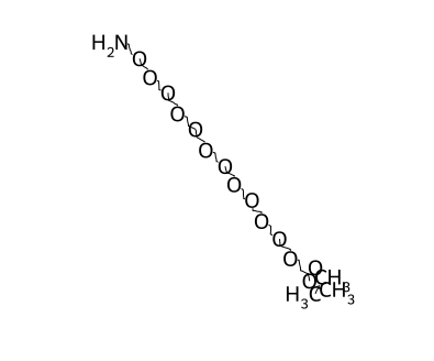 CC(C)(C)OC(=O)CCOCCOCCOCCOCCOCCOCCOCCOCCOCCOCCOCCOCCN